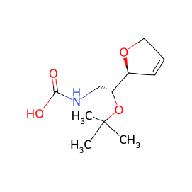 CC(C)(C)O[C@H](CNC(=O)O)[C@@H]1C=CCO1